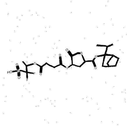 CC(C)C1(OC(=O)C2CC(OC(=O)CCC(=O)OC(C)C(F)(F)S(=O)(=O)O)C(=O)O2)CC2CCC1C2